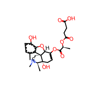 Cc1ccc(O)c2c1[C@]13CCN(C)[C@H](C)[C@]1(O)CC=C(OC(=O)[C@H](C)OC(=O)CCC(=O)O)[C@@H]3O2